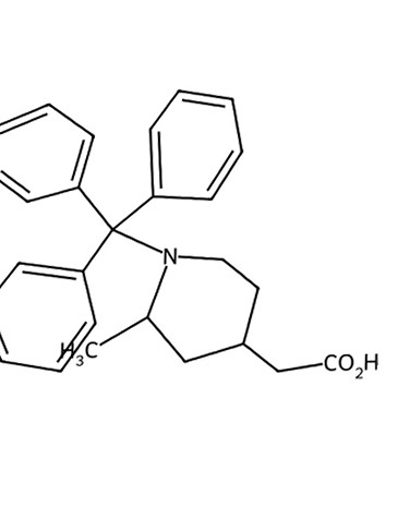 CC1CC(CC(=O)O)CCN1C(c1ccccc1)(c1ccccc1)c1ccccc1